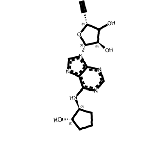 C#C[C@H]1O[C@@H](n2cnc3c(N[C@H]4CCC[C@@H]4O)ncnc32)[C@H](O)C1O